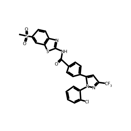 CS(=O)(=O)c1ccc2nc(NC(=O)c3ccc(-c4cc(C(F)(F)F)nn4-c4ccccc4Cl)cc3)sc2c1